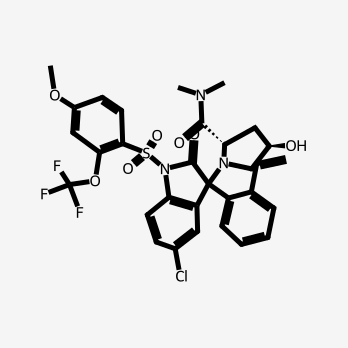 C=Cc1ccccc1C1(N2C[C@H](O)C[C@H]2C(=O)N(C)C)C(=O)N(S(=O)(=O)c2ccc(OC)cc2OC(F)(F)F)c2ccc(Cl)cc21